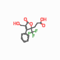 O=C(O)CCC1(C(F)(F)F)OC(=O)C(CO)=C1c1ccccc1